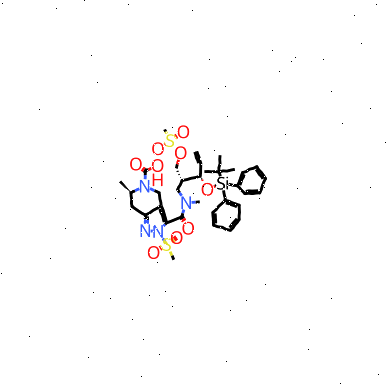 C=C[C@H](O[Si](c1ccccc1)(c1ccccc1)C(C)(C)C)[C@@H](COS(C)(=O)=O)CN(C)C(=O)c1c2c(nn1S(C)(=O)=O)C[C@@H](C)N(C(=O)O)C2